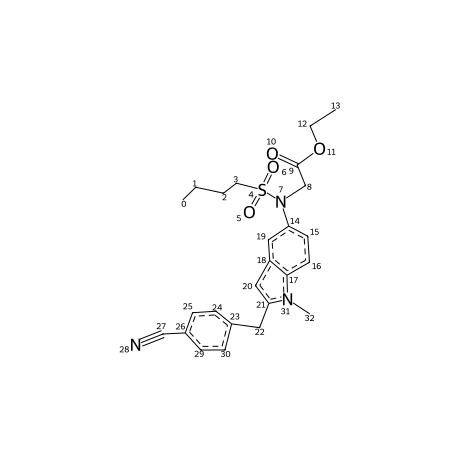 CCCCS(=O)(=O)N(CC(=O)OCC)c1ccc2c(c1)cc(Cc1ccc(C#N)cc1)n2C